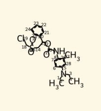 CCN(CC)c1ccc(NC(=O)OC(CS(=O)(=O)CCl)c2ccccc2)c(C)c1